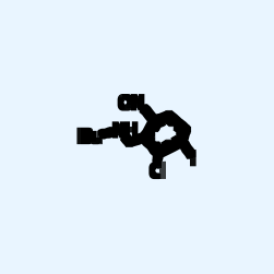 CCC(C)NCc1c(N=O)ccc(I)c1Cl